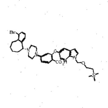 C[Si](C)(C)CCOCn1ccc2cc(Oc3cc(N4CCN([C@@H]5CCCCc6c(Br)cccc65)CC4)ccc3C(=O)O)cnc21